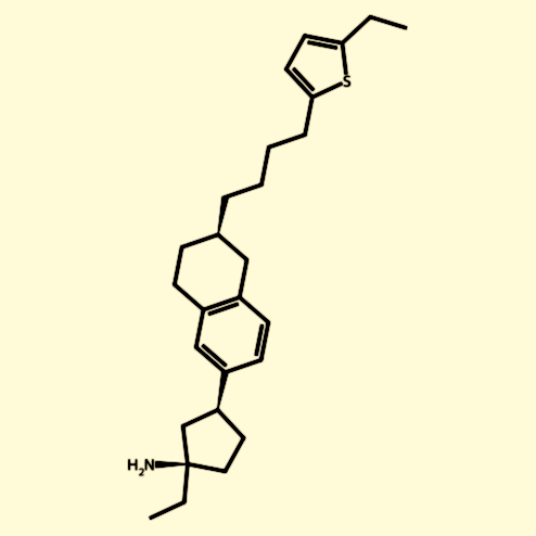 CCc1ccc(CCCC[C@@H]2CCc3cc([C@H]4CC[C@](N)(CC)C4)ccc3C2)s1